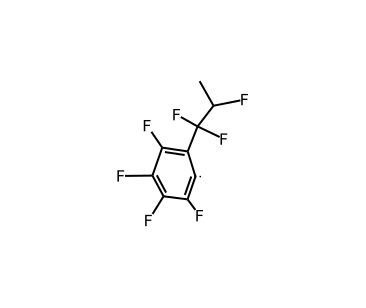 CC(F)C(F)(F)c1[c]c(F)c(F)c(F)c1F